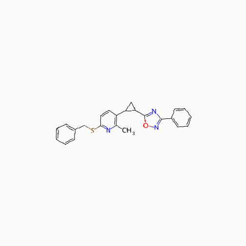 Cc1nc(SCc2ccccc2)ccc1C1CC1c1nc(-c2ccccc2)no1